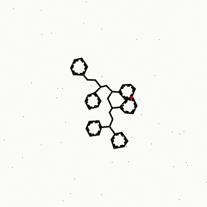 [c]1ccc(C(CCC(CC(CC(CCc2ccccc2)c2ccccc2)c2ccccc2)c2ccccc2)c2ccccc2)cc1